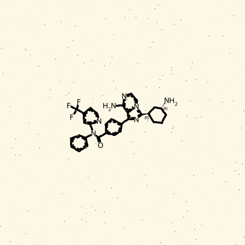 Nc1nccn2c([C@@H]3CCC[C@@H](N)C3)nc(-c3ccc(C(=O)N(c4ccccc4)c4cc(C(F)(F)F)ccn4)cc3)c12